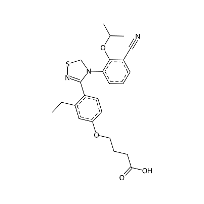 CCc1cc(OCCCC(=O)O)ccc1C1=NSCN1c1cccc(C#N)c1OC(C)C